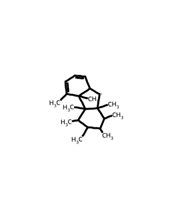 CC1=CC=CC2[C]C3(C)C(C)C(C)C(C)C(C)C3(C)C12C